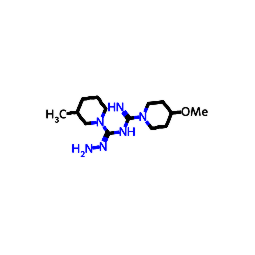 COC1CCN(C(=N)NC(=NN)N2CCCC(C)C2)CC1